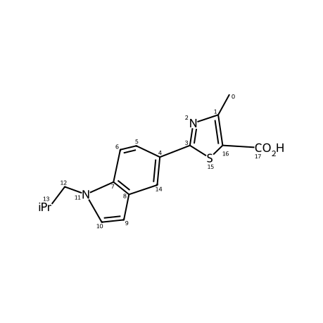 Cc1nc(-c2ccc3c(ccn3CC(C)C)c2)sc1C(=O)O